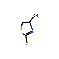 CC1CSC(Cl)=N1